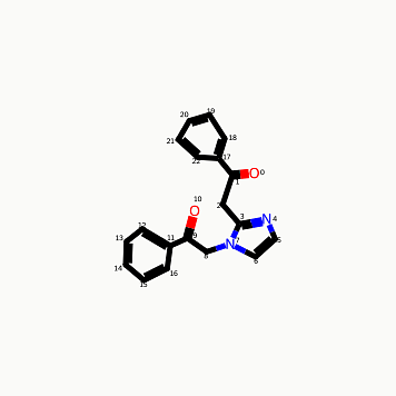 O=C(Cc1nccn1CC(=O)c1ccccc1)c1ccccc1